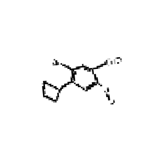 CC(C)Oc1cc(C2CCC2)c(Br)cc1C=O